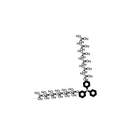 OB(O)O.OB(O)O.OB(O)O.OB(O)O.OB(O)O.OB(O)O.OB(O)O.OB(O)O.OB(O)O.OB(O)O.OB(O)O.OB(O)O.c1ccc(N(c2ccccc2)c2ccccc2)cc1